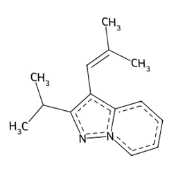 CC(C)=Cc1c(C(C)C)nn2ccccc12